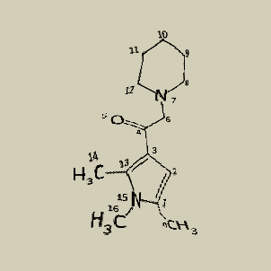 Cc1cc(C(=O)CN2CCCCC2)c(C)n1C